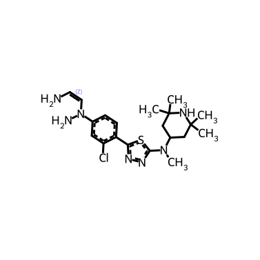 CN(c1nnc(-c2ccc(N(N)/C=C\N)cc2Cl)s1)C1CC(C)(C)NC(C)(C)C1